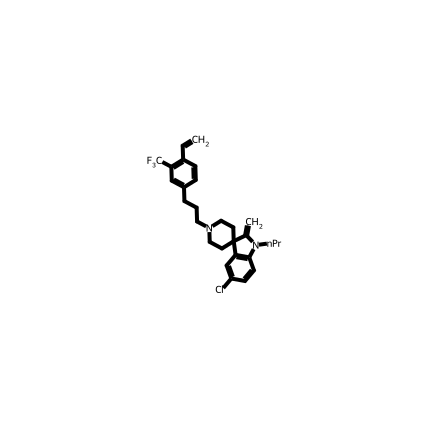 C=Cc1ccc(CCCN2CCC3(CC2)C(=C)N(CCC)c2ccc(Cl)cc23)cc1C(F)(F)F